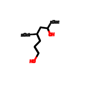 CCCCCCCCCCC(O)CC(CCCO)CCCCCCCC